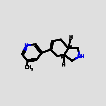 Cc1cncc(C2=CC[C@@H]3CNC[C@@H]3C2)c1